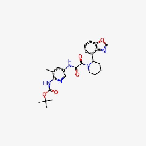 Cc1cc(NC(=O)C(=O)N2CCCCC2c2cccc3ocnc23)cnc1NC(=O)OC(C)(C)C